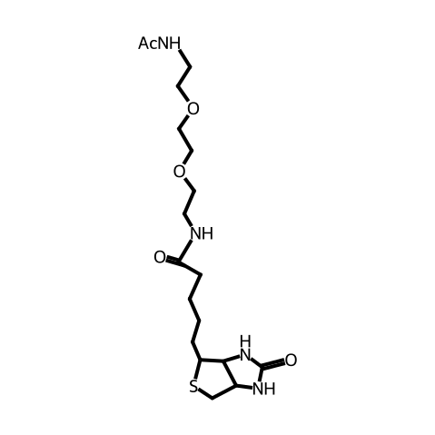 CC(=O)NCCOCCOCCNC(=O)CCCCC1SCC2NC(=O)NC21